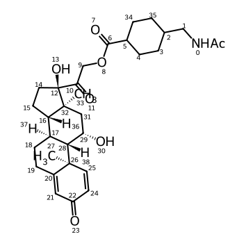 CC(=O)NCC1CCC(C(=O)OCC(=O)[C@@]2(O)CC[C@H]3[C@@H]4CCC5=CC(=O)C=C[C@]5(C)[C@H]4[C@@H](O)C[C@@]32C)CC1